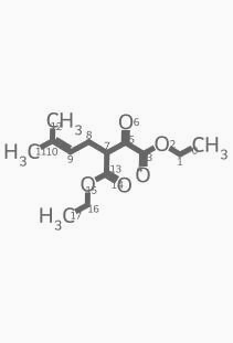 CCOC(=O)C(=O)C(CC=C(C)C)C(=O)OCC